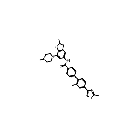 Cc1nc(-c2ccc(-c3ccc(C(=O)Nc4cc5c(c(N6CCN(C)CC6)c4)OC(C)C5)cc3)c(C)c2)no1